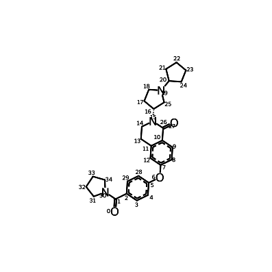 O=C(c1ccc(Oc2ccc3c(c2)CCN([C@@H]2CCN(C4CCCC4)C2)C3=O)cc1)N1CCCC1